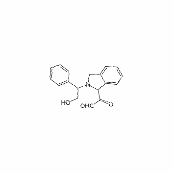 O=CC(=O)C1c2ccccc2CN1C(CO)c1ccccc1